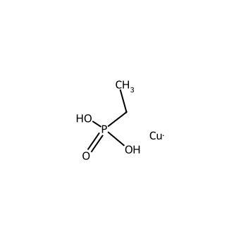 CCP(=O)(O)O.[Cu]